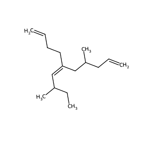 C=CCCC(=CC(C)CC)CC(C)CC=C